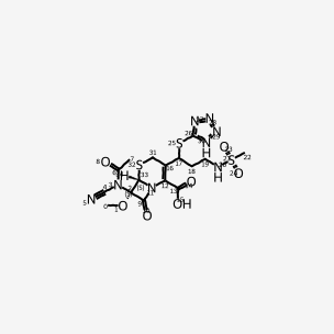 CO[C@@]1(N(C#N)C(C)=O)C(=O)N2C(C(=O)O)=C(C(CCNS(C)(=O)=O)Sc3nnn[nH]3)CS[C@H]21